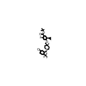 CC(C)(C)OC(=O)c1cc(C2CC2)c(OCC2(F)CCN(Cc3cc(Cl)ccc3C(F)(F)F)CC2)cc1F